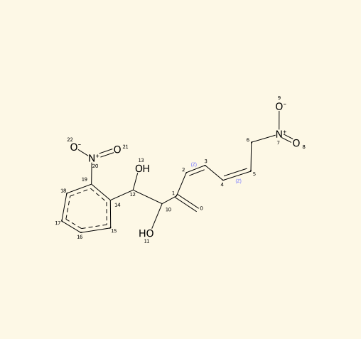 C=C(/C=C\C=C/C[N+](=O)[O-])C(O)C(O)c1ccccc1[N+](=O)[O-]